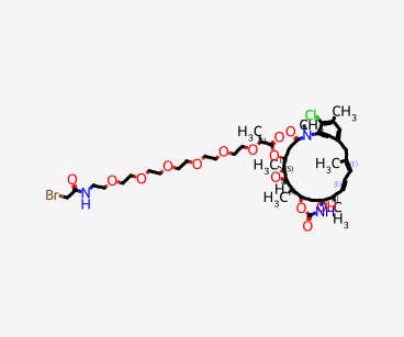 C/C1=C\C=C\[C@@H](C)[C@@]2(O)CC(OC(=O)N2)[C@@H](C)[C@@H]2O[C@@]2(C)[C@@H](OC(=O)[C@H](C)OCCOCCOCCOCCOCCOCCNC(=O)CBr)CC(=O)N(C)c2cc(cc(C)c2Cl)C1